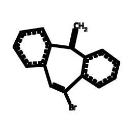 C=C1c2ccccc2C=C(Br)c2ccccc21